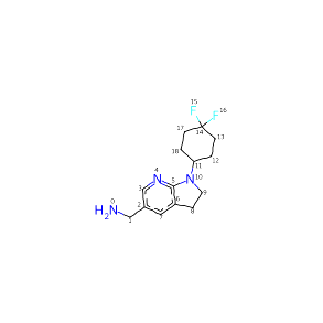 NCc1cnc2c(c1)CCN2C1CCC(F)(F)CC1